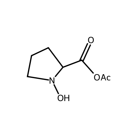 CC(=O)OC(=O)C1CCCN1O